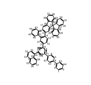 c1ccc(-c2ccc(-c3nc(-c4ccc(-c5ccc6c(c5)C5(c7ccccc7-c7ccccc75)c5ccccc5-6)c(-c5ccccc5)c4)nc(-c4cccc5ccccc45)n3)cc2)cc1